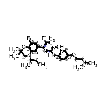 C=N/C(=N\C(=C(/C)F)c1cc(F)c2c(c1)N(C(C)CC)CC(C)(C)O2)Nc1ccc(OCCN(C)C)cn1